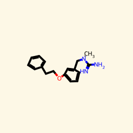 CN(Cc1cccc(OCCc2ccccc2)c1)C(=N)N